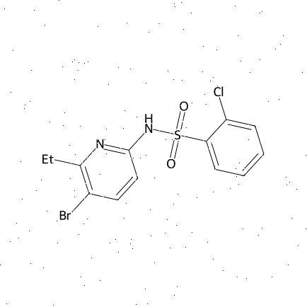 CCc1nc(NS(=O)(=O)c2ccccc2Cl)ccc1Br